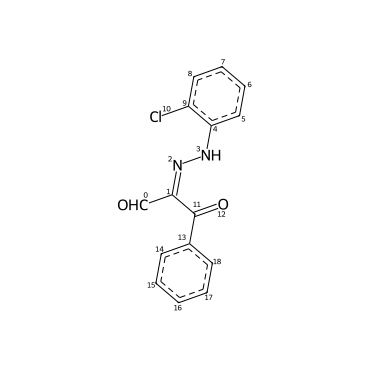 O=CC(=NNc1ccccc1Cl)C(=O)c1ccccc1